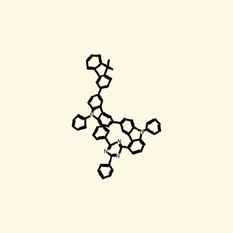 CC1(C)c2ccccc2-c2cc(-c3ccc4c(c3)c3cc(-c5ccc6c(c5)c5c(-c7nc(-c8ccccc8)nc(-c8ccccc8)n7)cccc5n6-c5ccccc5)ccc3n4-c3ccccc3)ccc21